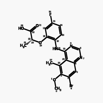 COc1c(Br)cc2ncnc(Nc3ccc(F)cc3O[C@H](C)C(=O)O)c2c1C